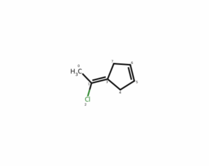 CC(Cl)=C1CC=CC1